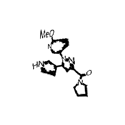 COc1ccc(-n2nc(C(=O)N3CCCC3)cc2-c2cc[nH]c2)cn1